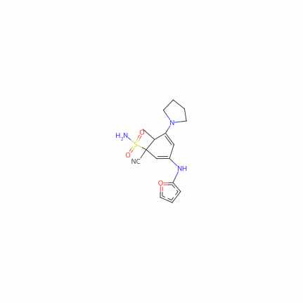 CC1C(N2CCCC2)=CC(Nc2ccco2)=CC1(C#N)S(N)(=O)=O